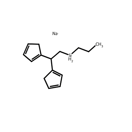 CCC[SiH2]CC(C1=CC=CC1)C1=CC=CC1.[Na]